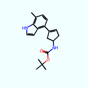 Cc1ccc(C2=CCC(NC(=O)OC(C)(C)C)C2)c2cc[nH]c12